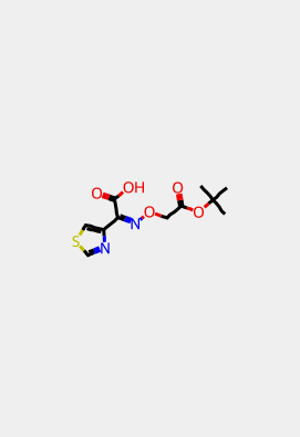 CC(C)(C)OC(=O)CO/N=C(\C(=O)O)c1cscn1